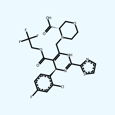 O=C(OCC(F)(F)F)C1=C(CN2CCOC[C@H]2C(=O)O)NC(c2nccs2)=N[C@H]1c1ccc(F)cc1Cl